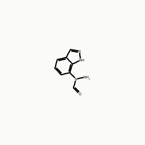 NN(C=O)c1cccc2cn[nH]c12